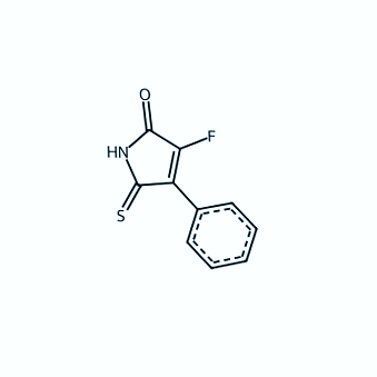 O=C1NC(=S)C(c2ccccc2)=C1F